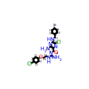 N/C(=N\C(=O)c1nc(Cl)c(NCc2ccc(I)cc2)nc1N)NCCOc1ccc(Cl)cc1